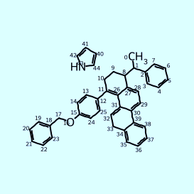 CC(c1ccccc1)C1CCC(c2ccc(OCc3ccccc3)cc2)=c2c1ccc1c2=CCc2ccccc2-1.c1cc[nH]c1